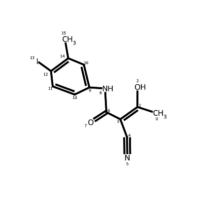 CC(O)=C(C#N)C(=O)Nc1ccc(I)c(C)c1